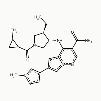 CC[C@@H]1CN(C(=O)C2CC2C)C[C@H]1Nc1c(C(N)=O)cnn2cc(-c3cnn(C)c3)cc12